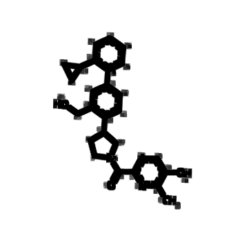 Cc1nc(C(=O)N2CCC(c3ccc(-c4ccccc4C4CC4)cc3CO)C2)ccc1O